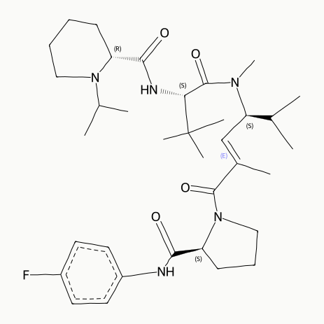 C/C(=C\[C@H](C(C)C)N(C)C(=O)[C@@H](NC(=O)[C@H]1CCCCN1C(C)C)C(C)(C)C)C(=O)N1CCC[C@H]1C(=O)Nc1ccc(F)cc1